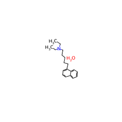 CCN(CC)CCCCCc1cccc2ccccc12.O